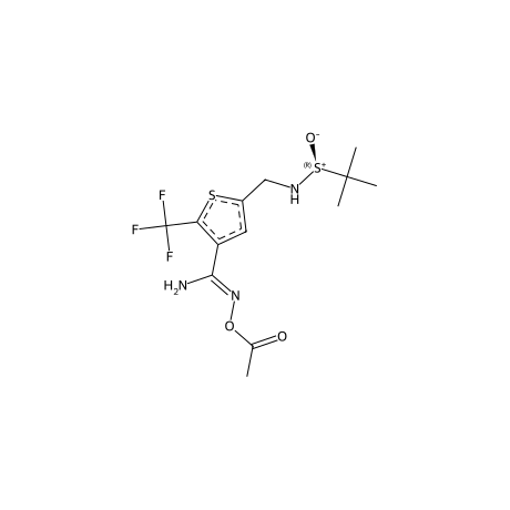 CC(=O)ON=C(N)c1cc(CN[S@@+]([O-])C(C)(C)C)sc1C(F)(F)F